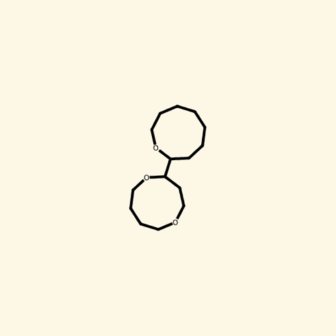 C1CCCOC([C]2CCOCCCCO2)CCC1